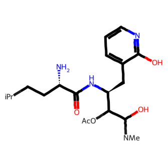 CNC(O)C(OC(C)=O)[C@H](Cc1cccnc1O)NC(=O)[C@@H](N)CCC(C)C